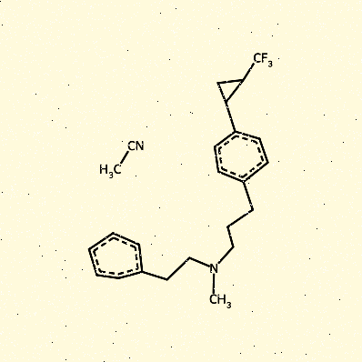 CC#N.CN(CCCc1ccc(C2CC2C(F)(F)F)cc1)CCc1ccccc1